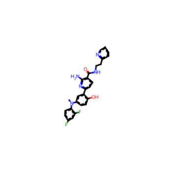 CN(c1ccc(O)c(-c2ccc(C(=O)NCCc3ccccn3)c(N)n2)c1)c1ccc(F)cc1F